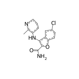 Cc1ncccc1Nc1c(C(N)=O)oc2ccc(Cl)cc12